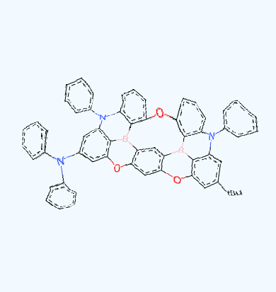 CC(C)(C)c1cc2c3c(c1)N(c1ccccc1)c1cccc4c1B3c1cc3c(cc1O2)Oc1cc(N(c2ccccc2)c2ccccc2)cc2c1B3c1c(cccc1N2c1ccccc1)O4